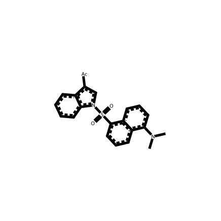 CC(=O)c1cn(S(=O)(=O)c2cccc3c(N(C)C)cccc23)c2ccccc12